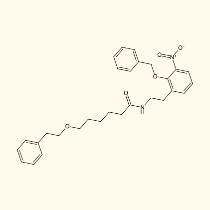 O=C(CCCCCOCCc1ccccc1)NCCc1cccc([N+](=O)[O-])c1OCc1ccccc1